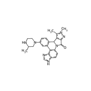 Cc1c2c(nn1C)C(=O)N1c3ccc4[nH]cnc4c3-c3cc(N4CCNC(C)C4)ccc3C21